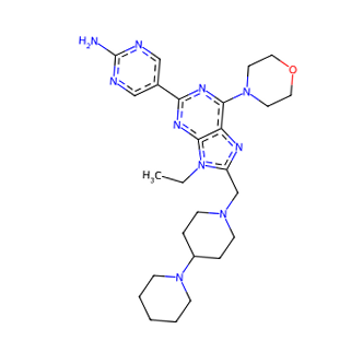 CCn1c(CN2CCC(N3CCCCC3)CC2)nc2c(N3CCOCC3)nc(-c3cnc(N)nc3)nc21